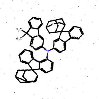 CC1(C)c2ccccc2-c2cc(N(c3ccc4c(c3)C3(c5ccccc5-4)C4CCC5CC(C4)CC3C5)c3cccc4c3-c3ccccc3C43C4CCC5CC(C4)CC3C5)ccc21